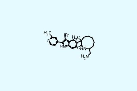 Cc1cc(-c2[nH]c3ccc(C4(C)CCCCCC(CN)NC4=O)cc3c2C(C)C)ccn1